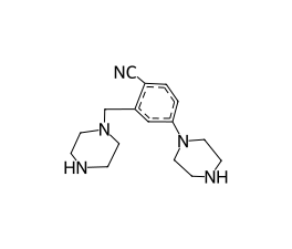 N#Cc1ccc(N2CCNCC2)cc1CN1CCNCC1